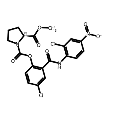 COC(=O)[C@@H]1CCCN1C(=O)Oc1ccc(Cl)cc1C(=O)Nc1ccc([N+](=O)[O-])cc1Cl